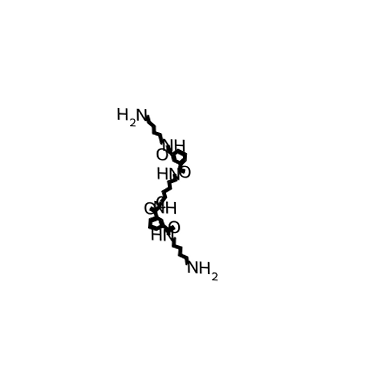 NCCCCCCNC(=O)c1cccc(C(=O)NCCCCCCNC(=O)c2cccc(C(=O)NCCCCCCN)c2)c1